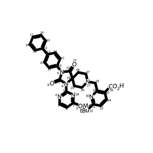 COc1ccnc(N2C(=O)N(c3ccc(-c4ccccc4)cc3)C(=O)C23CCN(Cc2nc(C(C)(C)C)ccc2C(=O)O)CC3)n1